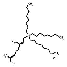 CCCCCCCC[N+](C/C=C(\C)CCC=C(C)C)(CCCCCCCC)CCCCCCCC.[Cl-]